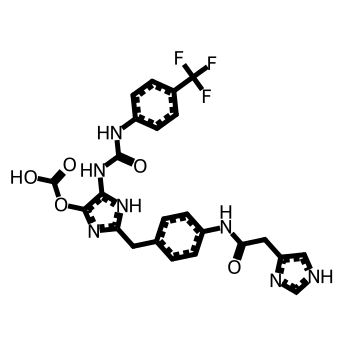 O=C(Cc1c[nH]cn1)Nc1ccc(Cc2nc(OC(=O)O)c(NC(=O)Nc3ccc(C(F)(F)F)cc3)[nH]2)cc1